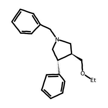 CCOC[C@@H]1CN(Cc2ccccc2)C[C@H]1c1ccccc1